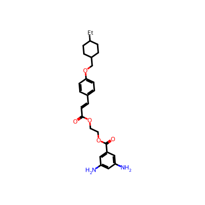 CCC1CCC(COc2ccc(C=CC(=O)OCCOC(=O)c3cc(N)cc(N)c3)cc2)CC1